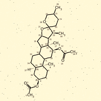 CC(=O)O[C@@H]1CC[C@]2(C)C3C[C@H](OC(C)=O)[C@@]4(C)C(CC5OC6(CCC(C)CO6)[C@@H](C)C54)C3CC[C@@H]2C1